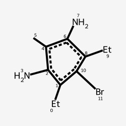 CCc1c(N)c(C)c(N)c(CC)c1Br